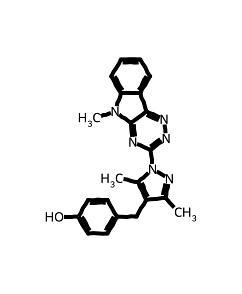 Cc1nn(-c2nnc3c4ccccc4n(C)c3n2)c(C)c1Cc1ccc(O)cc1